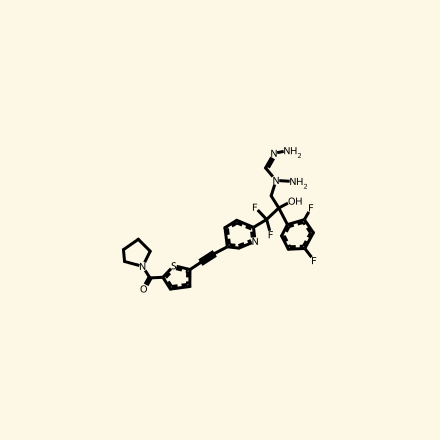 N/N=C\N(N)CC(O)(c1ccc(F)cc1F)C(F)(F)c1ccc(C#Cc2ccc(C(=O)N3CCCC3)s2)cn1